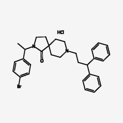 CC(c1ccc(Br)cc1)N1CCC2(CCN(CCC(c3ccccc3)c3ccccc3)CC2)C1=O.Cl